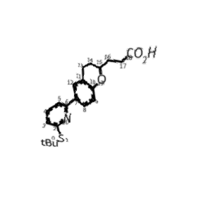 CC(C)(C)Sc1cccc(-c2ccc3c(c2)CCC(CCC(=O)O)O3)n1